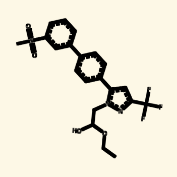 CCOC(O)Cn1nc(C(F)(F)F)cc1-c1ccc(-c2cccc(S(C)(=O)=O)c2)cc1